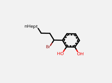 CCCCCCCCCC(Br)c1cccc(O)c1O